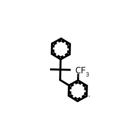 CC(C)(Cc1cc[c]cc1C(F)(F)F)c1ccccc1